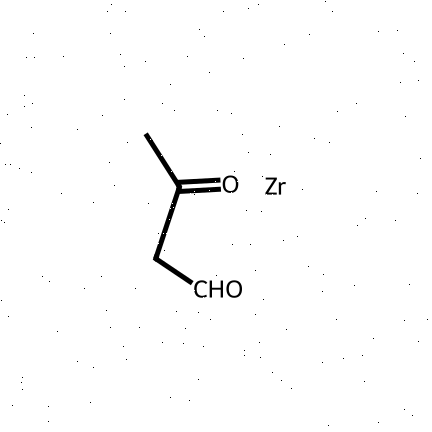 CC(=O)CC=O.[Zr]